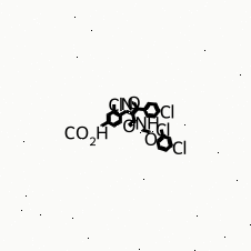 O=C(O)Cc1ccc(-c2noc(-c3ccc(Cl)cc3)c2C(=O)NCCOc2ccc(Cl)cc2Cl)c(Cl)c1